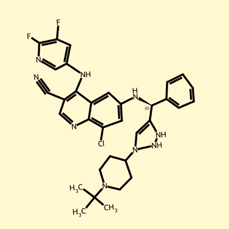 CC(C)(C)N1CCC(N2C=C([C@@H](Nc3cc(Cl)c4ncc(C#N)c(Nc5cnc(F)c(F)c5)c4c3)c3ccccc3)NN2)CC1